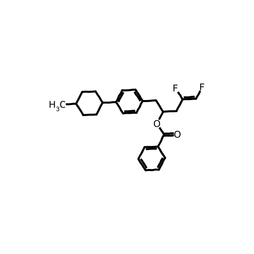 CC1CCC(c2ccc(CC(C/C(F)=C/F)OC(=O)c3ccccc3)cc2)CC1